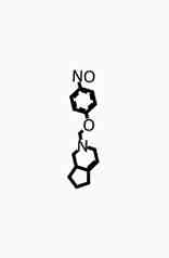 O=Nc1ccc(OCN2CC=C3CCCC3C2)cc1